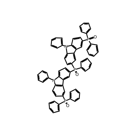 O=P(c1ccccc1)(c1ccccc1)c1ccc2c(c1)c1cc(P(=O)(c3ccccc3)c3ccc4c(c3)c3cc(P(=O)(c5ccccc5)c5ccccc5)ccc3n4-c3ccccc3)ccc1n2-c1ccccc1